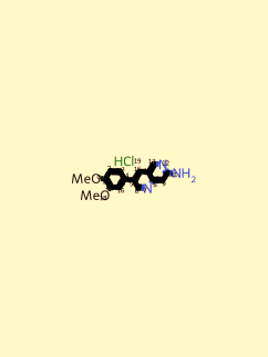 COc1ccc(-c2cnc3cc(N)ncc3c2)cc1OC.Cl